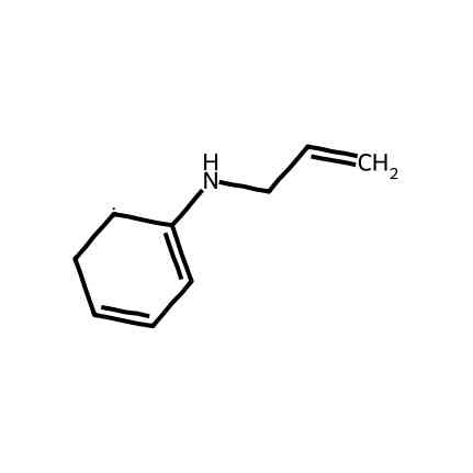 C=CCNC1=CC=CC[CH]1